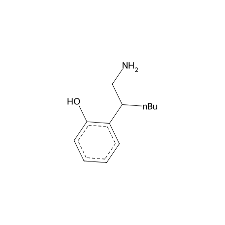 CCCCC(CN)c1ccccc1O